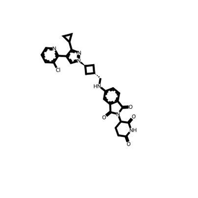 O=C1CCC(N2C(=O)c3ccc(NC[C@H]4C[C@H](n5cc(-c6ncccc6Cl)c(C6CC6)n5)C4)cc3C2=O)C(=O)N1